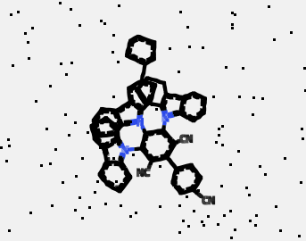 N#Cc1ccc(-c2c(C#N)c(-n3c4c(c5ccccc53)CCC=C4)c(-n3c4ccccc4c4cc(-c5ccccc5)ccc43)c(-n3c4ccccc4c4ccccc43)c2C#N)cc1